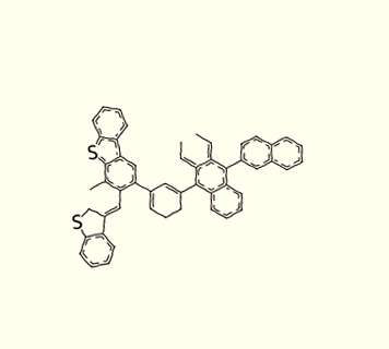 C/C=c1/c(C2=CC(c3cc4c(sc5ccccc54)c(C)c3/C=C3\CSc4ccccc43)=CCC2)c2ccccc2c(-c2ccc3ccccc3c2)/c1=C/C